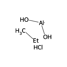 CCC.Cl.[OH][Al][OH]